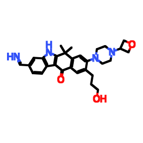 CC1(C)c2cc(N3CCN(C4COC4)CC3)c(CCCO)cc2C(=O)c2c1[nH]c1cc(C=N)ccc21